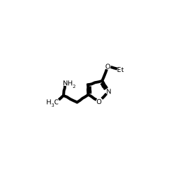 CCOc1cc(CC(C)N)on1